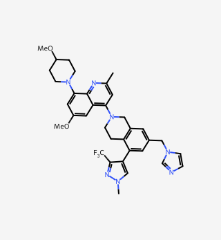 COc1cc(N2CCC(OC)CC2)c2nc(C)cc(N3CCc4c(cc(Cn5ccnc5)cc4-c4cn(C)nc4C(F)(F)F)C3)c2c1